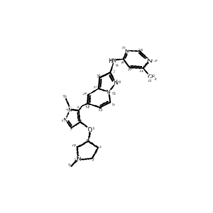 CN1CC[C@H](Oc2cnn(C)c2-c2ccn3nc(Nc4cc(C(F)(F)F)ncn4)cc3c2)C1